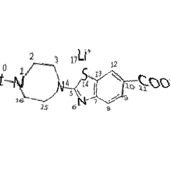 CCN1CCN(c2nc3ccc(C(=O)[O-])cc3s2)CC1.[Li+]